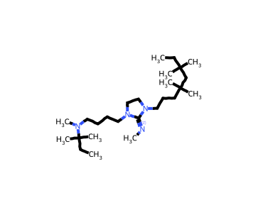 CCC(C)(C)CC(C)(C)CCCN1CCN(CCCCN(C)C(C)(C)CC)/C1=N\C